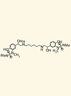 CNS(=O)(=O)N(C)c1cc(C(O)CNCCCCCCNCC(O)c2ccc(O)c(N(C)S(=O)(=O)NC)c2)ccc1O